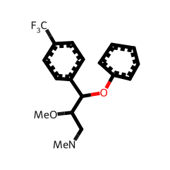 CNCC(OC)C(Oc1ccccc1)c1ccc(C(F)(F)F)cc1